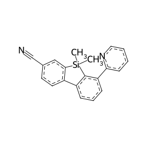 C[Si]1(C)c2cc(C#N)ccc2-c2cccc(-c3ccccn3)c21